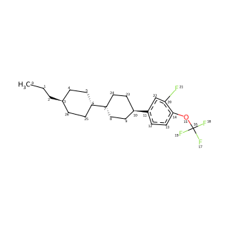 CCC[C@H]1CC[C@H]([C@H]2CC[C@H](c3ccc(OC(F)(F)F)c(F)c3)CC2)CC1